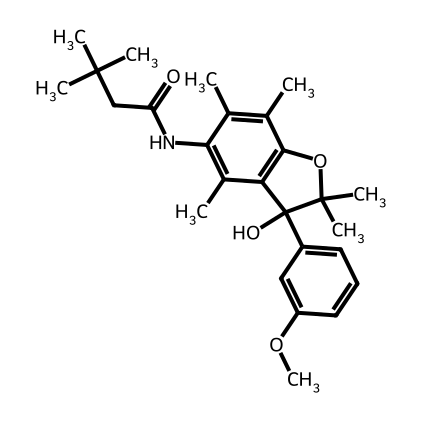 COc1cccc(C2(O)c3c(C)c(NC(=O)CC(C)(C)C)c(C)c(C)c3OC2(C)C)c1